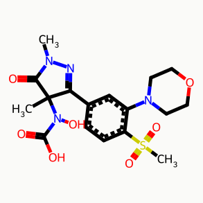 CN1N=C(c2ccc(S(C)(=O)=O)c(N3CCOCC3)c2)C(C)(N(O)C(=O)O)C1=O